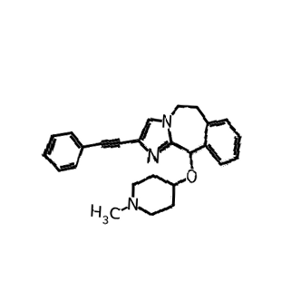 CN1CCC(OC2c3ccccc3CCn3cc(C#Cc4ccccc4)nc32)CC1